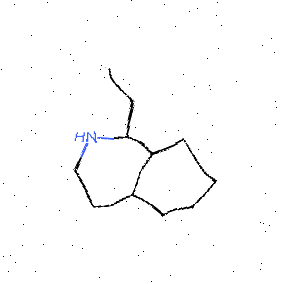 [CH2]CC1NCCC2CCCCC21